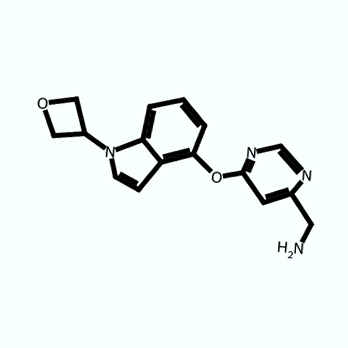 NCc1cc(Oc2cccc3c2ccn3C2COC2)ncn1